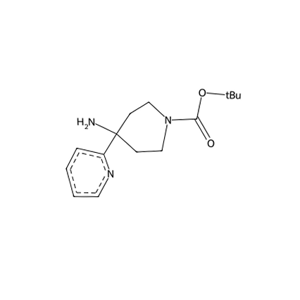 CC(C)(C)OC(=O)N1CCC(N)(c2ccccn2)CC1